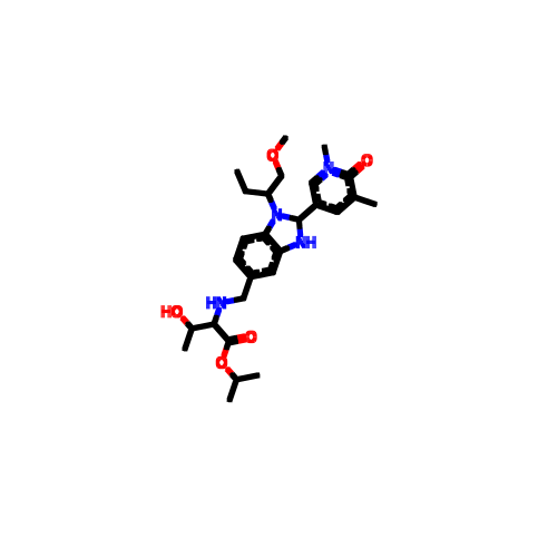 CCC(COC)N1c2ccc(CNC(C(=O)OC(C)C)C(C)O)cc2NC1c1cc(C)c(=O)n(C)c1